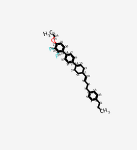 CCCc1ccc(CC/C=C/C2CC=C(c3ccc(-c4ccc(OCC)c(F)c4F)cc3)CC2)cc1